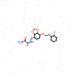 C[C@H](NCc1ccc(OCCc2ccccc2F)c2c1OCO2)C(N)=O